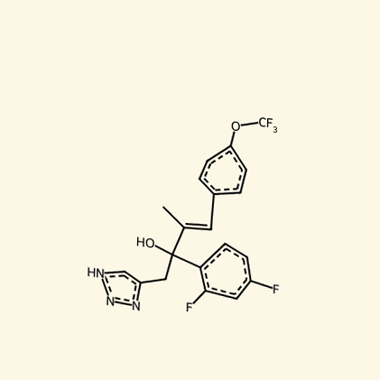 C/C(=C\c1ccc(OC(F)(F)F)cc1)C(O)(Cc1c[nH]nn1)c1ccc(F)cc1F